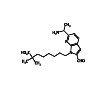 CC(N)c1ccc2cc(C=O)n(CCCCCCC(C)(C)C(=O)O)c2n1